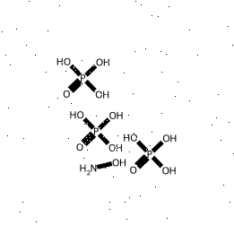 NO.O=P(O)(O)O.O=P(O)(O)O.O=P(O)(O)O